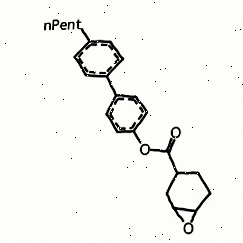 CCCCCc1ccc(-c2ccc(OC(=O)C3CCC4OC4C3)cc2)cc1